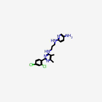 Cc1nc(-c2ccc(Cl)cc2Cl)nc(NCCCNc2ccc(N)cn2)c1C